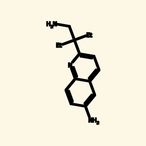 CCC(CC)(CN)c1ccc2cc(N)ccc2n1